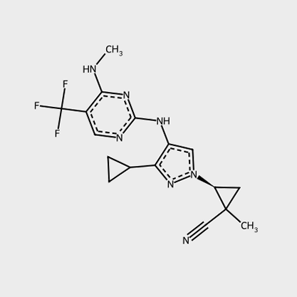 CNc1nc(Nc2cn([C@H]3CC3(C)C#N)nc2C2CC2)ncc1C(F)(F)F